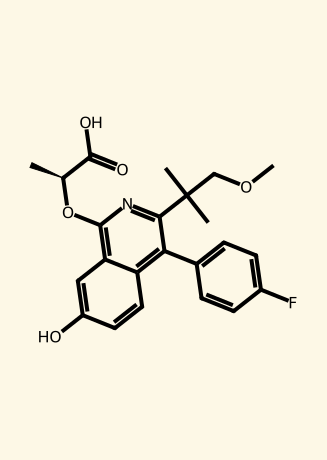 COCC(C)(C)c1nc(O[C@@H](C)C(=O)O)c2cc(O)ccc2c1-c1ccc(F)cc1